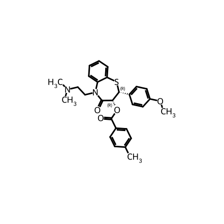 COc1ccc([C@H]2Sc3ccccc3N(CCN(C)C)C(=O)[C@H]2OC(=O)c2ccc(C)cc2)cc1